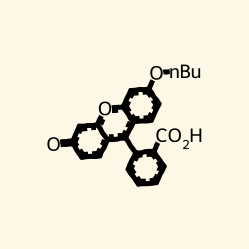 CCCCOc1ccc2c(-c3ccccc3C(=O)O)c3ccc(=O)cc-3oc2c1